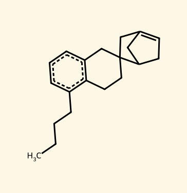 CCCCc1cccc2c1CCC1(CC3=CCC1C3)C2